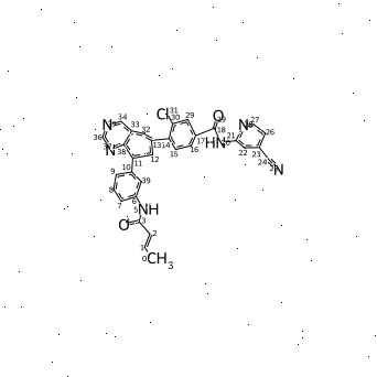 C/C=C/C(=O)Nc1cccc(-c2cc(-c3ccc(C(=O)Nc4cc(C#N)ccn4)cc3Cl)cc3cncnc23)c1